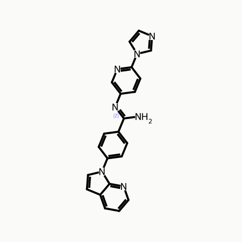 N/C(=N\c1ccc(-n2ccnc2)nc1)c1ccc(-n2ccc3cccnc32)cc1